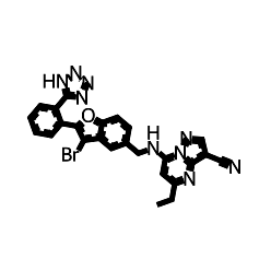 CCc1cc(NCc2ccc3oc(-c4ccccc4-c4nnn[nH]4)c(Br)c3c2)n2ncc(C#N)c2n1